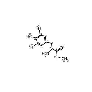 [2H]c1cc(C[C@H](N)C(=O)OC)cc([2H])c1O